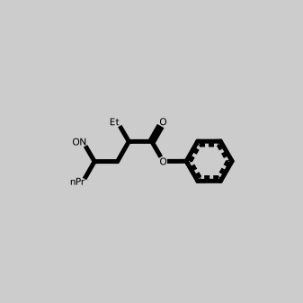 CCCC(CC(CC)C(=O)Oc1ccccc1)N=O